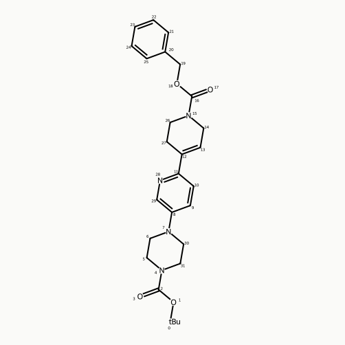 CC(C)(C)OC(=O)N1CCN(c2ccc(C3=CCN(C(=O)OCc4ccccc4)CC3)nc2)CC1